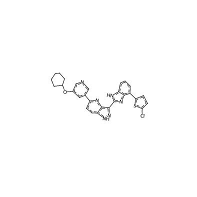 Clc1ccc(-c2cccc3[nH]c(-c4n[nH]c5ccc(-c6cncc(OC7CCCCC7)c6)nc45)nc23)s1